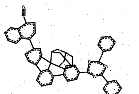 N#Cc1ccc(-c2ccc3c(c2)C2(c4c(-c5ccc(-c6nc(-c7ccccc7)nc(-c7ccccc7)n6)cc5)cccc4-3)C3CC4CC(C3)CC2C4)c2ccccc12